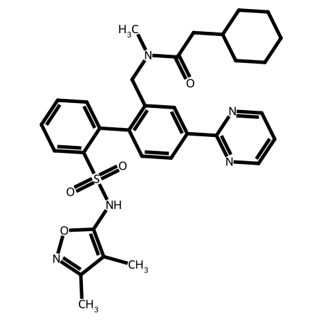 Cc1noc(NS(=O)(=O)c2ccccc2-c2ccc(-c3ncccn3)cc2CN(C)C(=O)CC2CCCCC2)c1C